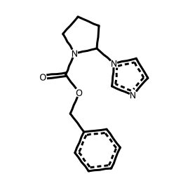 O=C(OCc1ccccc1)N1CCCC1n1ccnc1